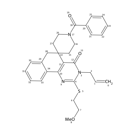 C=CCn1c(SCCOC)nc2c(c1=O)C1(CCN(C(=O)c3ccccc3)CC1)Cc1ccccc1-2